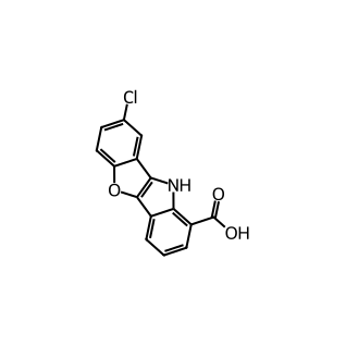 O=C(O)c1cccc2c1[nH]c1c3cc(Cl)ccc3oc21